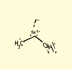 CCO.[I-].[I-].[Sr+2]